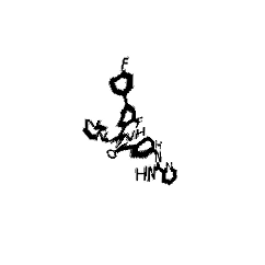 N=C(Nc1ccc(C(=O)N[C@@H](Cn2ccnc2)c2ccc(-c3ccc(F)cc3)cc2F)cc1)c1ccccn1